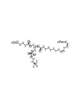 CCCCC/C=C\C/C=C\CCCCCCCC(=O)O[C@H](COC(=O)CCCCCCCCCCCCC)COP(=O)([O-])OCC[N+](C)(C)C